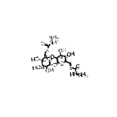 NNC(=O)SCC1O[C@H](O[C@H]2OC(CSC(=O)NN)[C@@H](O)[C@H](O)C2O)C(O)[C@@H](O)[C@@H]1O